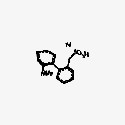 CNc1ccccc1-c1ccccc1CS(=O)(=O)O.[Pd]